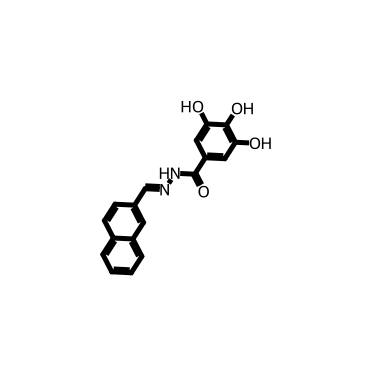 O=C(NN=Cc1ccc2ccccc2c1)c1cc(O)c(O)c(O)c1